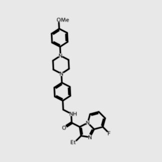 CCc1nc2c(F)cccn2c1C(=O)NCc1ccc(N2CCN(c3ccc(OC)cc3)CC2)cc1